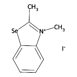 Cc1[se]c2ccccc2[n+]1C.[I-]